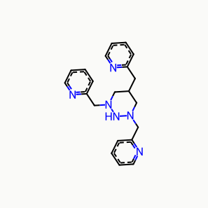 c1ccc(CC2CN(Cc3ccccn3)NN(Cc3ccccn3)C2)nc1